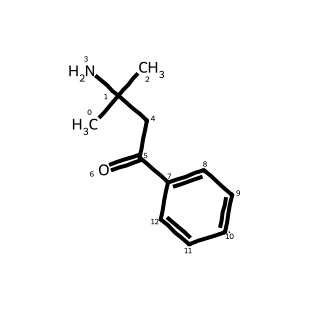 CC(C)(N)CC(=O)c1cc[c]cc1